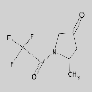 CC1CC(=O)CN1C(=O)C(F)(F)F